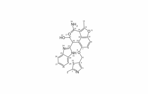 Cc1ncc(COc2ccc3oc(C)c(C(N)=O)c3c2C(CO)c2nc3ccccc3[nH]2)s1